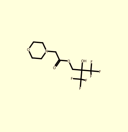 O=C(CN1CCOCC1)OCC(O)(C(F)(F)F)C(F)(F)F